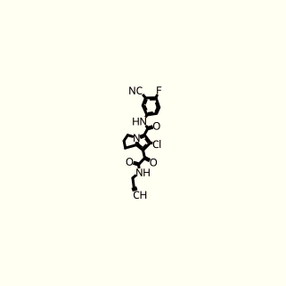 C#CCNC(=O)C(=O)c1c(Cl)c(C(=O)Nc2ccc(F)c(C#N)c2)n2c1CCC2